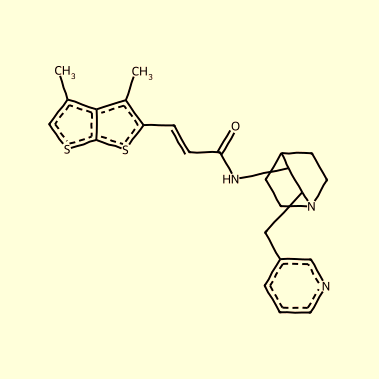 Cc1csc2sc(/C=C/C(=O)NC3C4CCN(CC4)C3Cc3cccnc3)c(C)c12